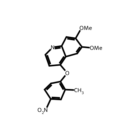 COc1cc2nccc(Oc3ccc([N+](=O)[O-])cc3C)c2cc1OC